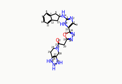 Cc1nc(NC2Cc3ccccc3C2)[nH]c1-c1nnc(CC(=O)N2CCC3=C(C2)NNN3)o1